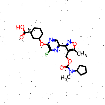 Cc1onc(-c2cnc(OC3CCC[C@H](C(=O)O)C3)c(F)n2)c1COC(=O)N(C)C1CCCC1